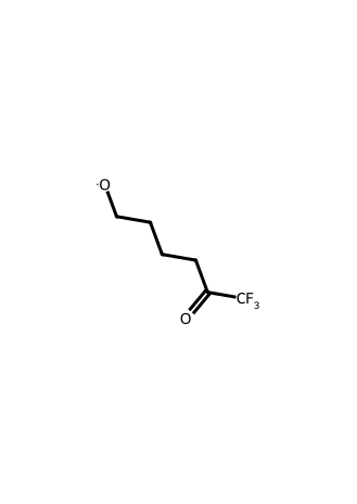 [O]CCCCC(=O)C(F)(F)F